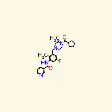 Cc1c(CN2CCN(C(=O)C3CCCC3)[C@@H](C)C2)cc(F)cc1NC(=O)c1cccnc1